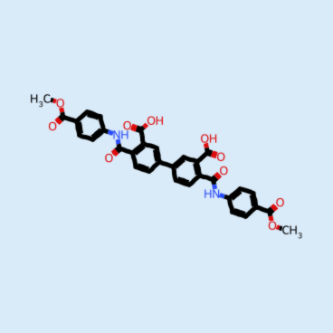 COC(=O)c1ccc(NC(=O)c2ccc(-c3ccc(C(=O)Nc4ccc(C(=O)OC)cc4)c(C(=O)O)c3)cc2C(=O)O)cc1